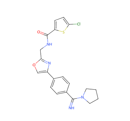 N=C(c1ccc(-c2coc(CNC(=O)c3ccc(Cl)s3)n2)cc1)N1CCCC1